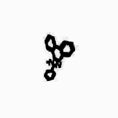 Cn1c(-c2ccccc2)nc2c3ccccc3c3ccccc3c21